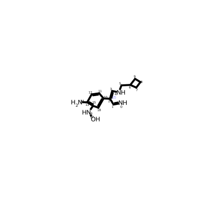 N=C/C(=C\NCC1CCC1)c1ccc(N)c(NO)c1